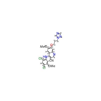 COc1cc(Nc2c(C#N)cnc3cc(OCCCn4cncn4)c(OC)cc23)c(Cl)cc1Cl